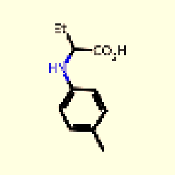 CCC(Nc1ccc(C)cc1)C(=O)O